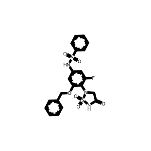 O=C1CN(c2c(F)cc(NS(=O)(=O)c3ccccc3)cc2OCc2ccccc2)S(=O)(=O)N1